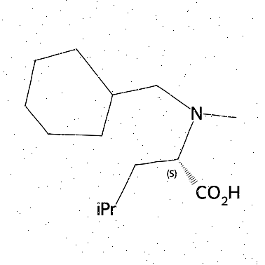 CC(C)C[C@@H](C(=O)O)N(C)CC1CCCCC1